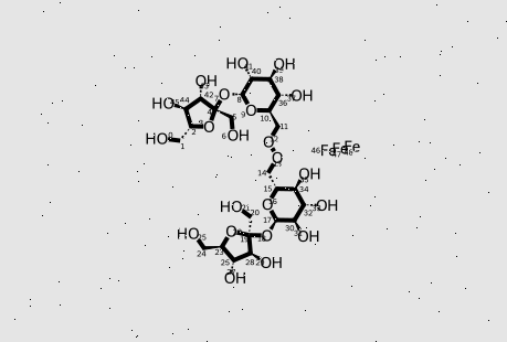 OC[C@H]1O[C@@](CO)(O[C@H]2O[C@H](COOC[C@H]3O[C@H](O[C@]4(CO)O[C@H](CO)[C@@H](O)[C@@H]4O)[C@H](O)[C@@H](O)[C@@H]3O)[C@@H](O)[C@H](O)[C@H]2O)[C@@H](O)[C@@H]1O.[Fe].[Fe].[Fe]